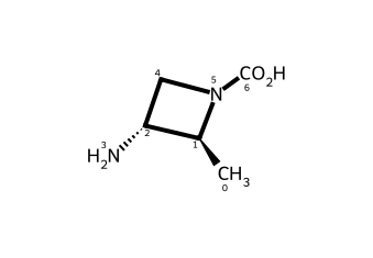 C[C@H]1[C@H](N)CN1C(=O)O